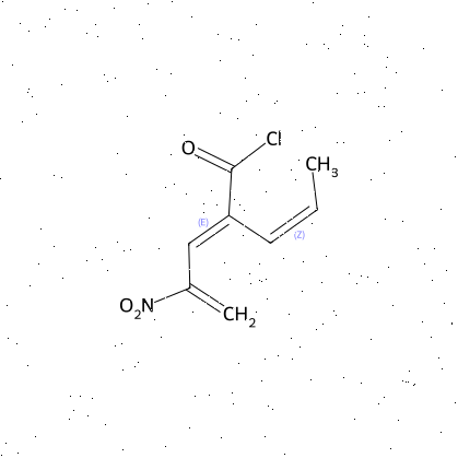 C=C(/C=C(\C=C/C)C(=O)Cl)[N+](=O)[O-]